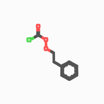 O=C(Cl)OOCCc1ccccc1